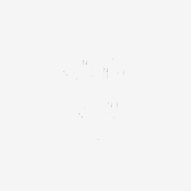 CN(Cc1ccc(-c2[nH]c3cc(F)cc4c3c2CCNC4=O)cc1)C(=O)C1CCCN1C(=O)CNC(O)OC(C)(C)C